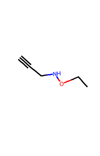 C#CCNOCC